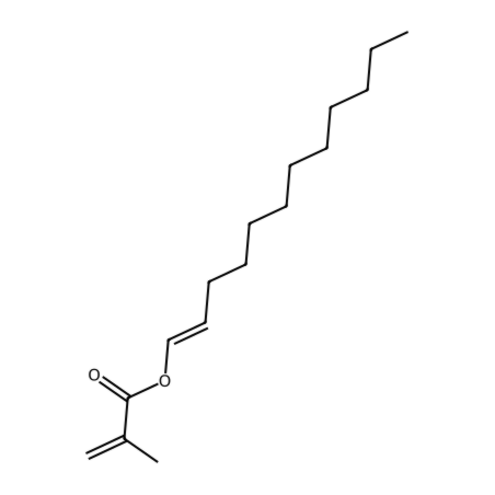 C=C(C)C(=O)OC=CCCCCCCCCCC